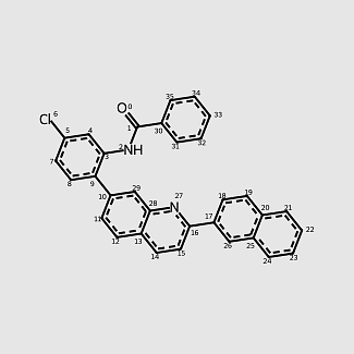 O=C(Nc1cc(Cl)ccc1-c1ccc2ccc(-c3ccc4ccccc4c3)nc2c1)c1ccccc1